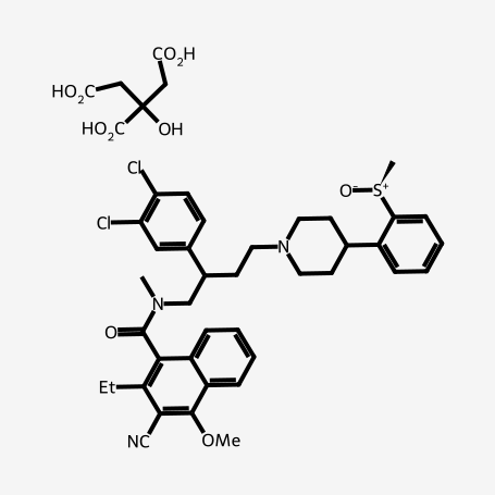 CCc1c(C#N)c(OC)c2ccccc2c1C(=O)N(C)CC(CCN1CCC(c2ccccc2[S@+](C)[O-])CC1)c1ccc(Cl)c(Cl)c1.O=C(O)CC(O)(CC(=O)O)C(=O)O